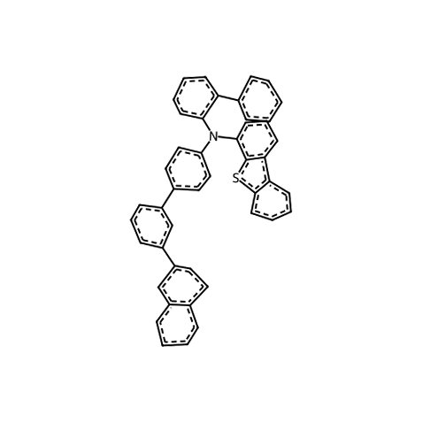 c1ccc(-c2ccccc2N(c2ccc(-c3cccc(-c4ccc5ccccc5c4)c3)cc2)c2cccc3c2sc2ccccc23)cc1